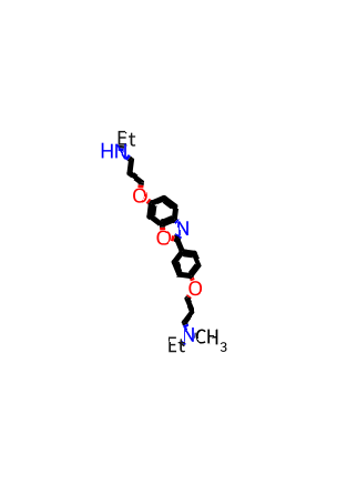 CCNCCCOc1ccc2nc(-c3ccc(OCCCN(C)CC)cc3)oc2c1